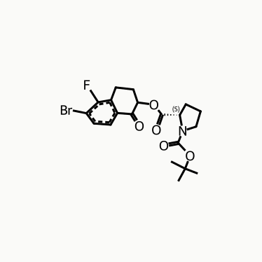 CC(C)(C)OC(=O)N1CCC[C@H]1C(=O)OC1CCc2c(ccc(Br)c2F)C1=O